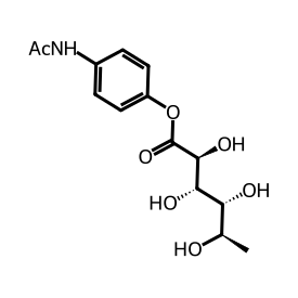 CC(=O)Nc1ccc(OC(=O)[C@@H](O)[C@@H](O)[C@H](O)[C@@H](C)O)cc1